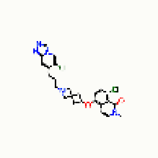 Cn1ccc2c(OC3CC4(C3)CN(CCCc3cc5nncn5cc3Cl)C4)ccc(Cl)c2c1=O